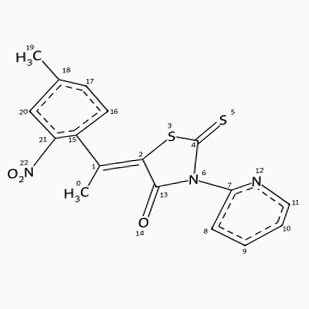 C/C(=C1/SC(=S)N(c2ccccn2)C1=O)c1ccc(C)cc1[N+](=O)[O-]